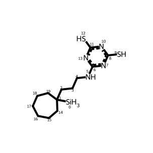 [SiH3]C1(CCCNc2nc(S)nc(S)n2)CCCCCC1